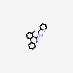 C/N=C(/NCc1ccccn1)c1c(C)cccc1-c1ccccc1